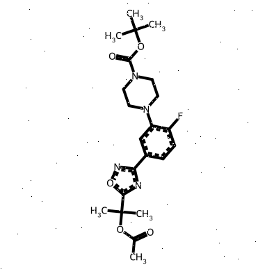 CC(=O)OC(C)(C)c1nc(-c2ccc(F)c(N3CCN(C(=O)OC(C)(C)C)CC3)c2)no1